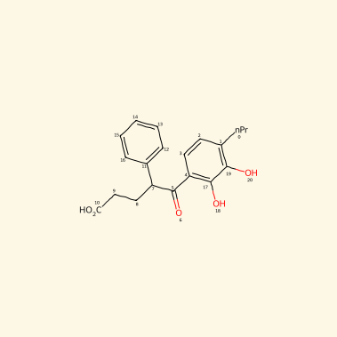 CCCc1ccc(C(=O)C(CCC(=O)O)c2ccccc2)c(O)c1O